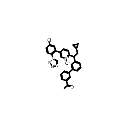 CC(=O)c1cccc(-c2cccc(C(CC3CC3)c3ccc(-c4cc(Cl)ccc4-n4cnnn4)c[n+]3[O-])c2)c1